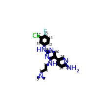 CN(C)CCCNc1nc(Nc2ccc(F)c(Cl)c2)ncc1-c1ccc(N)nc1